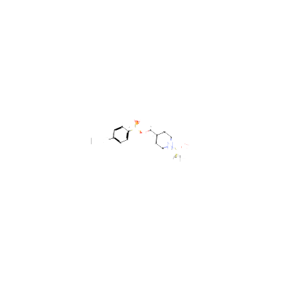 Cc1ccc(S(=O)OCC2CCN([S+](C)[O-])CC2)cc1